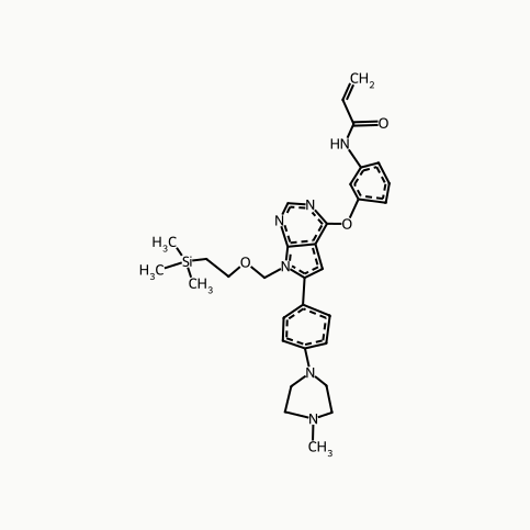 C=CC(=O)Nc1cccc(Oc2ncnc3c2cc(-c2ccc(N4CCN(C)CC4)cc2)n3COCC[Si](C)(C)C)c1